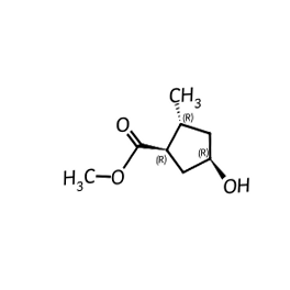 COC(=O)[C@@H]1C[C@H](O)C[C@H]1C